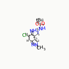 Cn1cc2c(CCNC(=O)OC(C)(C)C)c(N)c(Cl)cc2n1